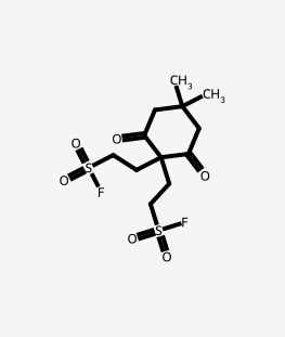 CC1(C)CC(=O)C(CCS(=O)(=O)F)(CCS(=O)(=O)F)C(=O)C1